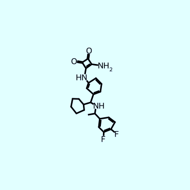 CC(NC(c1cccc(Nc2c(N)c(=O)c2=O)c1)C1CCCCC1)c1ccc(F)c(F)c1